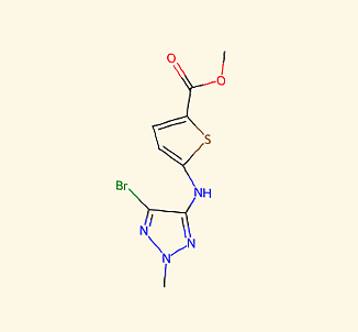 COC(=O)c1ccc(Nc2nn(C)nc2Br)s1